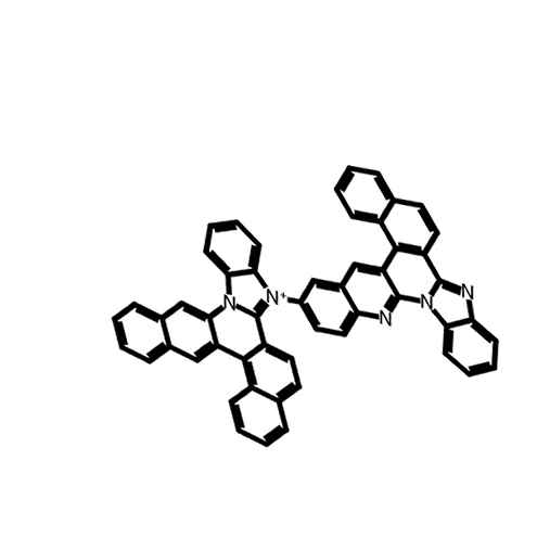 c1ccc2cc3c(cc2c1)c1c2ccccc2ccc1c1n3c2ccccc2[n+]1-c1ccc2nc3c(cc2c1)c1c2ccccc2ccc1c1nc2ccccc2n31